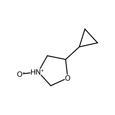 [O-][NH+]1COC(C2CC2)C1